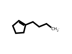 [CH2]CCCC1=CCCC1